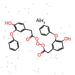 O=C(Cc1ccc(O)c(Oc2ccccc2)c1)OOOC(=O)Cc1ccc(O)c(Oc2ccccc2)c1.[AlH3]